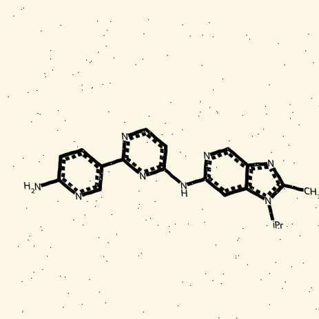 Cc1nc2cnc(Nc3ccnc(-c4ccc(N)nc4)n3)cc2n1C(C)C